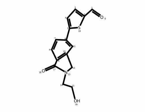 O=Cc1ccc(-c2ccc3c(c2)CN(CCO)C3=O)s1